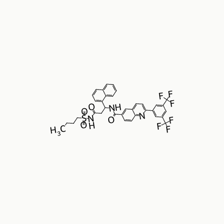 CCCCS(=O)(=O)NC(=O)CC(NC(=O)c1ccc2nc(-c3cc(C(F)(F)F)cc(C(F)(F)F)c3)ccc2c1)c1cccc2ccccc12